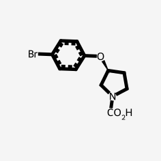 O=C(O)N1CC[C@H](Oc2ccc(Br)cc2)C1